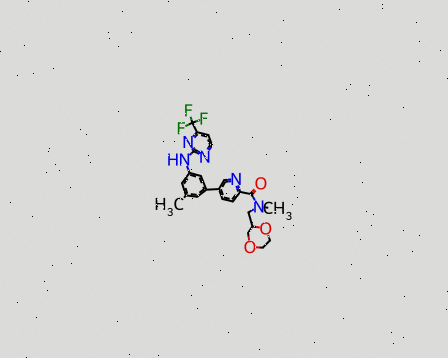 Cc1cc(Nc2nccc(C(F)(F)F)n2)cc(-c2ccc(C(=O)N(C)CC3COCCO3)nc2)c1